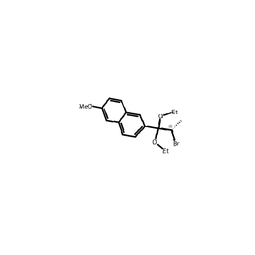 CCOC(OCC)(c1ccc2cc(OC)ccc2c1)[C@H](C)Br